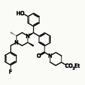 CCOC(=O)C1CCN(C(=O)c2cccc([C@H](c3cccc(O)c3)N3C[C@@H](C)N(Cc4ccc(F)cc4)C[C@@H]3C)c2)CC1